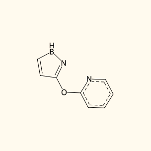 B1C=CC(Oc2ccccn2)=N1